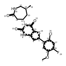 COc1cc(-c2cc3[nH]c(=O)n([C@@H]4CC(=O)NC[C@@H](C)C4)c(=O)c3s2)c(Cl)cc1F